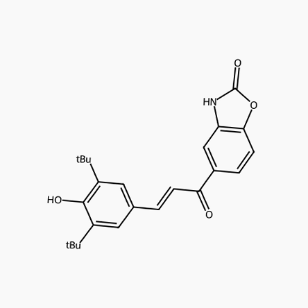 CC(C)(C)c1cc(C=CC(=O)c2ccc3oc(=O)[nH]c3c2)cc(C(C)(C)C)c1O